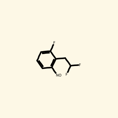 O=Nc1cccc(F)c1CC(F)F